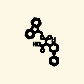 O=C(O)C(C(=O)OCC1c2ccccc2-c2ccccc21)C1CN(c2ccccc2)CCN1